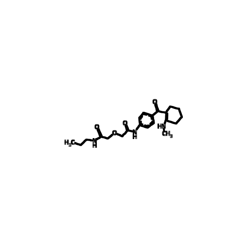 CCCNC(=O)COCC(=O)Nc1ccc(C(=O)C2=C(NC)CCCC2)cc1